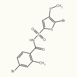 CSc1cc(S(=O)(=O)NC(=O)c2ccc(Br)cc2C)sc1Br